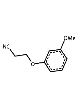 COc1cccc(OCCC#N)c1